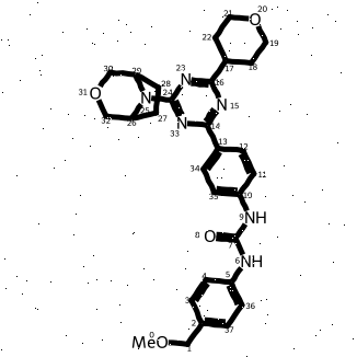 COCc1ccc(NC(=O)Nc2ccc(-c3nc(C4CCOCC4)nc(N4C5CCC4COC5)n3)cc2)cc1